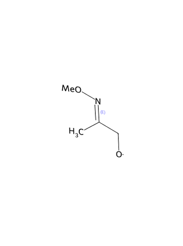 CO/N=C(\C)C[O]